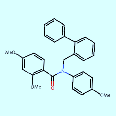 COc1ccc(N(Cc2ccccc2-c2ccccc2)C(=O)c2ccc(OC)cc2OC)cc1